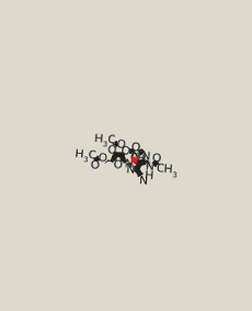 CC(=O)Nc1ncnc2c1c(C#N)nn2[C@@H]1O[C@H](COC(C)=O)[C@@H](OC(C)=O)[C@H]1OC(C)=O